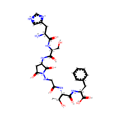 C[C@@H](O)[C@H](NC(=O)CNN1C(=O)CC(NC(=O)[C@H](CO)NC(=O)[C@@H](N)Cc2c[nH]cn2)C1=O)C(=O)N[C@@H](Cc1ccccc1)C(=O)O